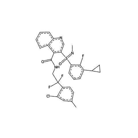 CN=S(=O)(c1cccc(C2CC2)c1F)c1cnc2ccccc2c1C(=O)NCC(F)(F)c1ccc(C)cc1Cl